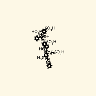 Cc1cc(N=Nc2ccc3c(S(=O)(=O)O)c(N=Nc4c(-c5ccccc5)nn(-c5ccc(S(=O)(=O)O)cc5S(=O)(=O)O)c4O)ccc3c2O)c(OCCCS(=O)(=O)O)cc1N=Nc1nc2ccccc2s1